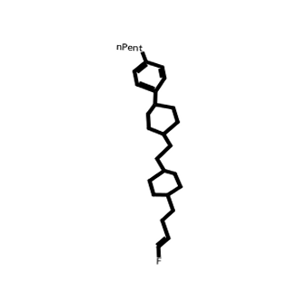 CCCCCc1ccc(C2CCC(CCC3CCC(CCC=CF)CC3)CC2)cc1